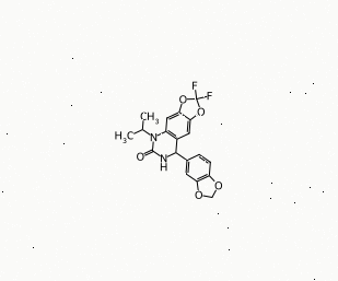 CC(C)N1C(=O)NC(c2ccc3c(c2)OCO3)c2cc3c(cc21)OC(F)(F)O3